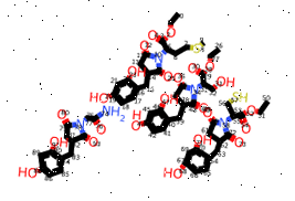 CCOC(=O)C(CCSC)N1C(=O)CC(Cc2ccc(O)cc2O)C1=O.CCOC(=O)C(CO)N1C(=O)CC(Cc2ccc(O)cc2O)C1=O.CCOC(=O)C(CS)N1C(=O)CC(Cc2ccc(O)cc2O)C1=O.NC(=O)CN1C(=O)CC(Cc2ccc(O)cc2O)C1=O